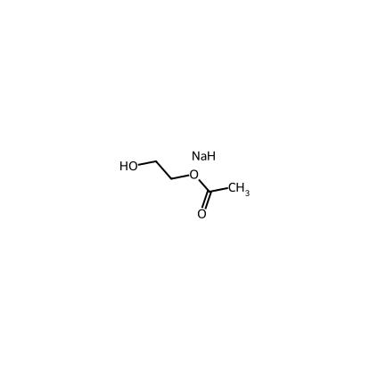 CC(=O)OCCO.[NaH]